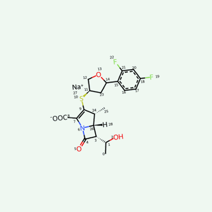 CC(O)[C@@H]1C(=O)N2C(C(=O)[O-])=C(S[C@H]3COC(c4ccc(F)cc4F)C3)[C@H](C)[C@H]12.[Na+]